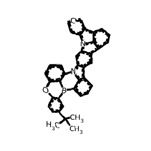 CC(C)(C)c1ccc2c(c1)B1c3c(cccc3-n3c4cc5c(cc4c4cccc1c43)c1cccc3c4ccccc4n5c31)O2